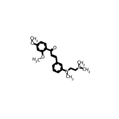 COc1ccc(C(=O)C=Cc2cccc(N(C)CCN(C)C)c2)c(OC)c1